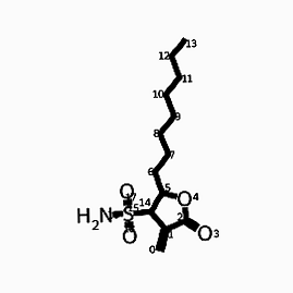 C=C1C(=O)OC(CCCCCCCC)C1S(N)(=O)=O